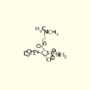 CN(C)CCCOC(=O)c1cc(S(N)(=O)=O)c(Cl)cc1NCc1ccco1